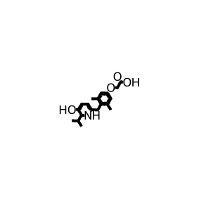 Cc1cc(OCC(=O)O)cc(C)c1CC1=CC=C(O)C(C(C)C)N1